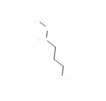 CC(C)O[SiH2]CCCC(=O)O